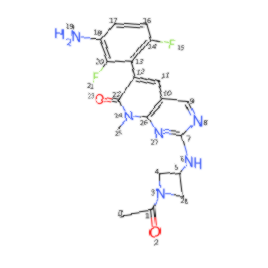 CC(=O)N1CC(Nc2ncc3cc(-c4c(F)ccc(N)c4F)c(=O)n(C)c3n2)C1